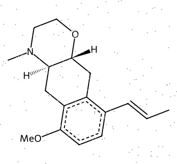 CC=Cc1ccc(OC)c2c1C[C@H]1OCCN(C)[C@@H]1C2